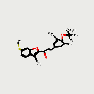 Cc1cc(/C=C/C(=O)c2oc3cc(SC(C)C)ccc3c2C)cc(C)c1OC(C)(C)C(=O)O